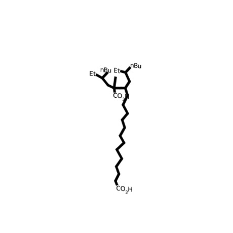 CCCCC(CC)CC(CCCCCCCCCCCCC(=O)O)C(C)(CC(CC)CCCC)C(=O)O